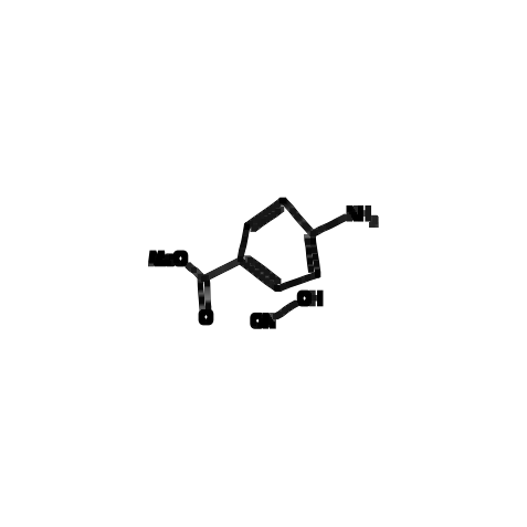 COC(=O)c1ccc(N)cc1.O=NO